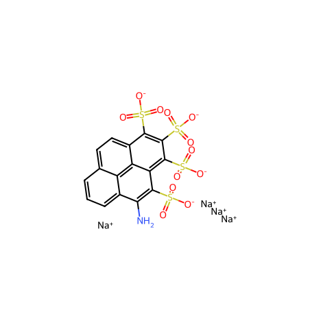 Nc1c(S(=O)(=O)[O-])c2c(S(=O)(=O)[O-])c(S(=O)(=O)[O-])c(S(=O)(=O)[O-])c3ccc4cccc1c4c32.[Na+].[Na+].[Na+].[Na+]